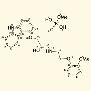 COP(=O)(O)O.COc1ccccc1OCCNCC(O)COc1cccc2[nH]c3ccccc3c12